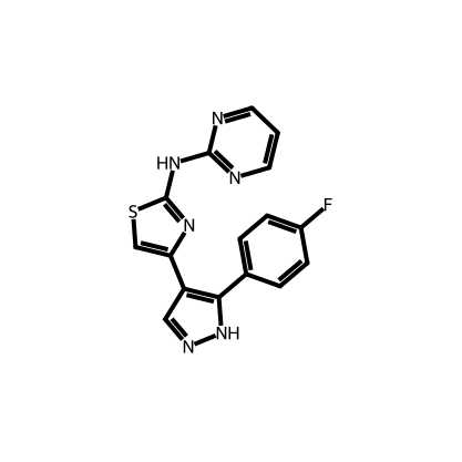 Fc1ccc(-c2[nH]ncc2-c2csc(Nc3ncccn3)n2)cc1